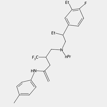 C=C(CC(CN(CCC)CC(CC)c1ccc(F)c(CC)c1)C(F)(F)F)Nc1ccc(C)cc1